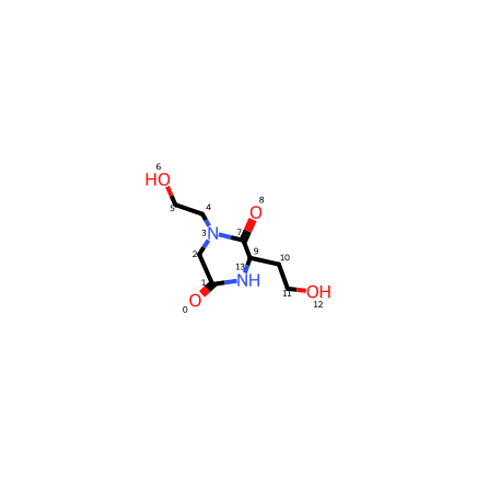 O=C1CN(CCO)C(=O)C(CCO)N1